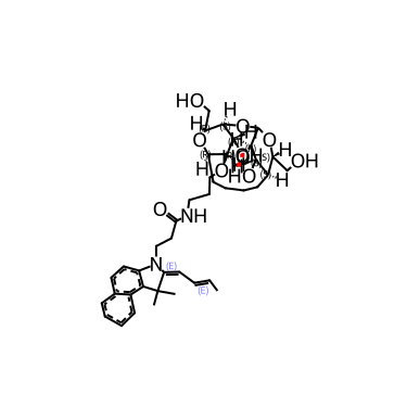 C/C=C/C=C1/N(CCC(=O)NCCCO[C@@H]2[C@@H](O)[C@@H]3OC4O[C@H](CO)[C@@H](CCCC[C@H]2O[C@@H]3CO)[C@H](O)[C@H]4O)c2ccc3ccccc3c2C1(C)C